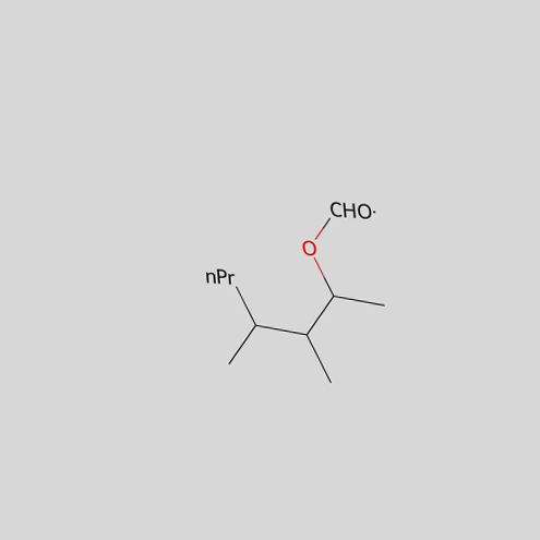 CCCC(C)C(C)C(C)O[C]=O